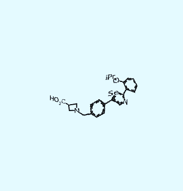 CC(C)Oc1ccccc1-c1ncc(-c2ccc(CN3CC(C(=O)O)C3)cc2)[se]1